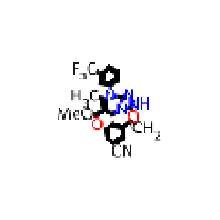 C=Cc1cc(C#N)ccc1[C@@H]1C(C(=O)OC)=C(C)N(c2cccc(C(F)(F)F)c2)c2n[nH]c(=O)n21